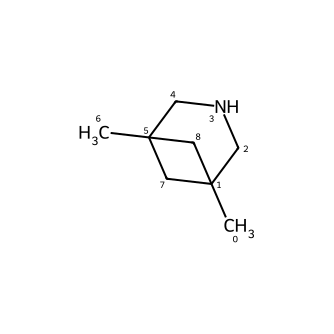 CC12CNCC(C)(C1)C2